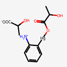 CC(O)C(=O)[O-].CC(O)C(=O)[O][Hg][c]1ccccc1[NH3+]